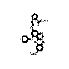 CNC(=O)[C@@H]1CCCN1CCOc1cc(OC2CCOCC2)c2c(Nc3cc(OC)ccc3Br)ncnc2c1